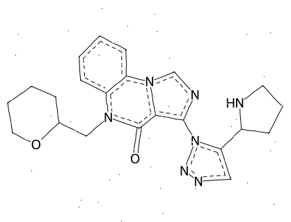 O=c1c2c(-n3nncc3C3CCCN3)ncn2c2ccccc2n1CC1CCCCO1